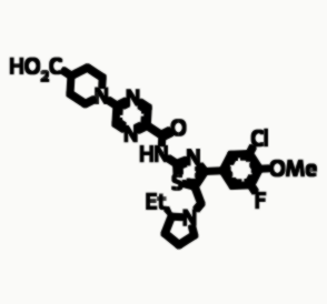 CC[C@@H]1CCCN1Cc1sc(NC(=O)c2cnc(N3CCC(C(=O)O)CC3)cn2)nc1-c1cc(F)c(OC)c(Cl)c1